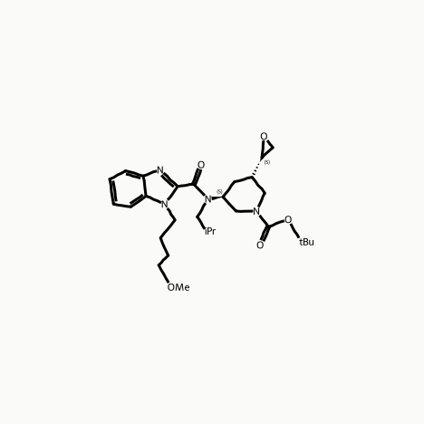 COCCCCn1c(C(=O)N(CC(C)C)[C@H]2CC([C@H]3CO3)CN(C(=O)OC(C)(C)C)C2)nc2ccccc21